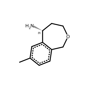 Cc1ccc2c(c1)[C@H](N)CCOC2